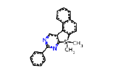 C[Si]1(C)c2ccc3ccccc3c2-c2cnc(-c3ccccc3)nc21